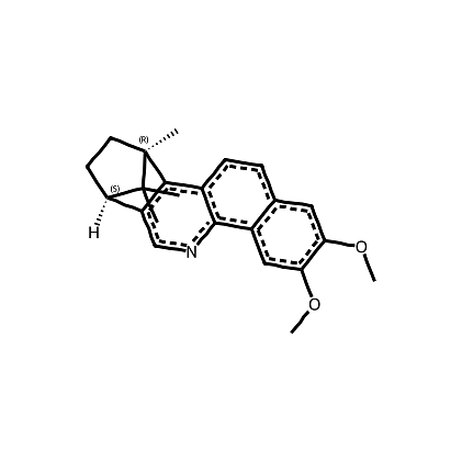 COc1cc2ccc3c4c(cnc3c2cc1OC)[C@H]1CC[C@]4(C)C1(C)C